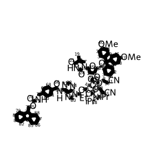 CCC(O[C@H](COP(=O)(OCCC#N)OC1C[C@H](n2cc(C)c(=O)[nH]c2=O)O[C@@H]1COC(c1ccccc1)(c1ccc(OC)cc1)c1ccc(OC)cc1)OP(OCCC#N)N(C(C)C)C(C)C)n1cnc2c(NC(=O)c3ccc(CNC(=O)OCC4c5ccccc5-c5ccccc54)cc3)ncnc21